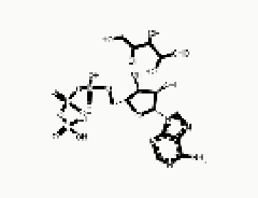 Nc1ncnc2c1ncn2[C@@H]1O[C@H](COP(=O)(O)OP(=O)(O)OP(=O)(O)O)[C@@H](O)[C@H]1O.O=CC(O)C(O)C(O)CO